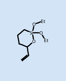 C=CC1CCC[Si](OCC)(OCC)O1